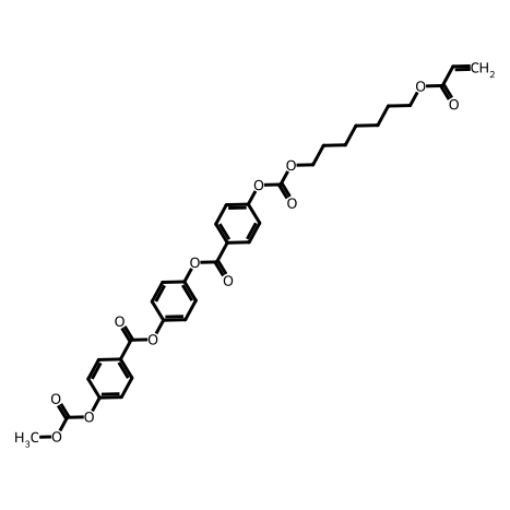 C=CC(=O)OCCCCCCCOC(=O)Oc1ccc(C(=O)Oc2ccc(OC(=O)c3ccc(OC(=O)OC)cc3)cc2)cc1